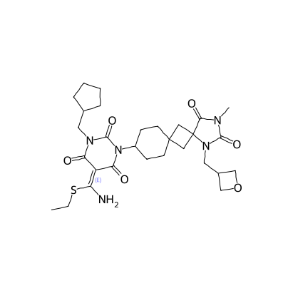 CCS/C(N)=C1\C(=O)N(CC2CCCC2)C(=O)N(C2CCC3(CC2)CC2(C3)C(=O)N(C)C(=O)N2CC2COC2)C1=O